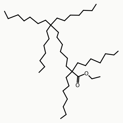 CCCCCCCC(CCCCCCC)(CCCCCCC)CCCCCCC(CCCCCCC)(CCCCCCC)C(=O)OCC